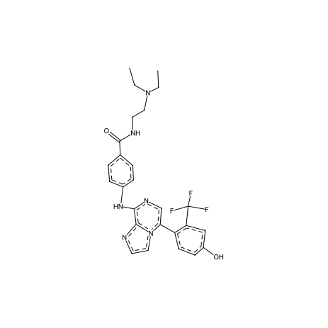 CCN(CC)CCNC(=O)c1ccc(Nc2ncc(-c3ccc(O)cc3C(F)(F)F)n3ccnc23)cc1